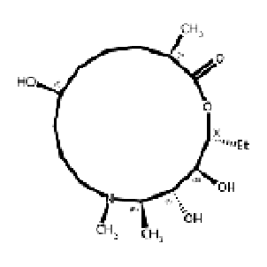 CC[C@H]1OC(=O)[C@H](C)CCC[C@H](O)CCCN(C)[C@H](C)[C@@H](O)[C@@H]1O